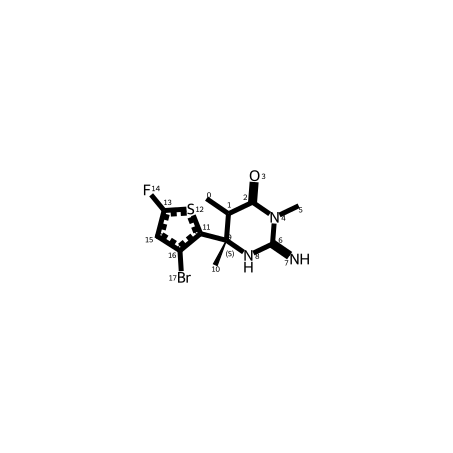 CC1C(=O)N(C)C(=N)N[C@]1(C)c1sc(F)cc1Br